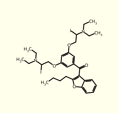 CCCCc1oc2ccccc2c1C(=O)c1cc(OCC(I)N(CC)CC)cc(OCC(I)N(CC)CC)c1